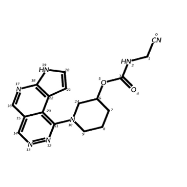 N#CCNC(=O)OC1CCCN(c2nncc3cnc4[nH]ccc4c23)C1